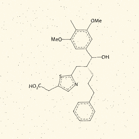 COc1cc(C(O)[C@H](CCCc2ccccc2)Cc2ncc(CC(=O)O)s2)cc(OC)c1C